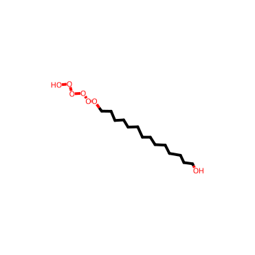 OCCCCCCCCCCCCCCOOOOOO